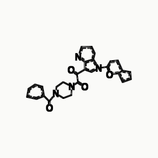 O=C(C(=O)N1CCN(C(=O)c2ccccc2)CC1)c1cn(-c2ccc3cccc-3o2)c2cccnc12